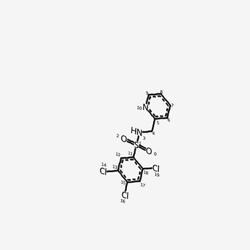 O=S(=O)(NCc1ccccn1)c1cc(Cl)c(Cl)cc1Cl